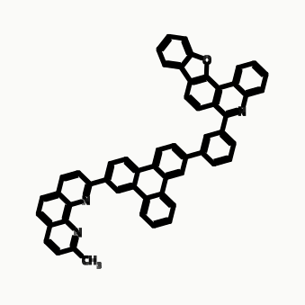 Cc1ccc2ccc3ccc(-c4ccc5c6ccc(-c7cccc(-c8nc9ccccc9c9c8ccc8c%10ccccc%10oc89)c7)cc6c6ccccc6c5c4)nc3c2n1